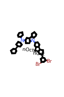 CCCCCCCCC1(CCCCCCCC)c2cc(-c3cc(Br)cc(Br)c3)ccc2-c2ccc(-n3c4ccccc4c4cc(N(c5ccccc5)c5ccc(-c6ccccc6)cc5)ccc43)cc21